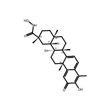 CC[C@@]12CC[C@@]3(C)C4=CC(=O)C(O)=C(C)C4=CC=C3[C@@]1(C)CC[C@@]1(C)CC[C@@](C)(C(=O)NO)C[C@H]12